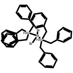 [Br][Ni]([Br])([AsH](Cc1ccccc1)(Cc1ccccc1)Cc1ccccc1)[AsH](Cc1ccccc1)(Cc1ccccc1)Cc1ccccc1